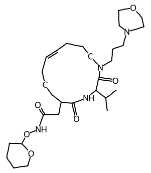 CC(C)C1NC(=O)C(CC(=O)NOC2CCCCO2)CCCC=CCCCN(CCCN2CCOCC2)C1=O